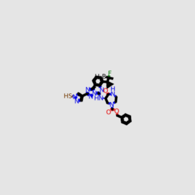 BC(C)(F)C1(c2cccc3c2nc(N[C@@H]2CN(C(=O)OCc4ccccc4)CCNC2=O)n2nc(-c4cnn(S)c4)nc32)CC1